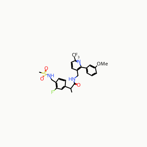 COc1cccc(-c2nc(C(F)(F)F)ccc2CNC(=O)C(C)c2ccc(CNS(C)(=O)=O)c(F)c2)c1